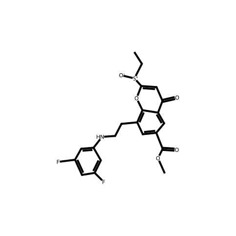 CC[S+]([O-])c1cc(=O)c2cc(C(=O)OC)cc(CCNc3cc(F)cc(F)c3)c2o1